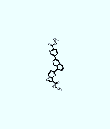 CNC(=O)c1cnn2ccc(-c3cccc4cc(-c5ccc(C(=O)OC)nc5)ncc34)nc12